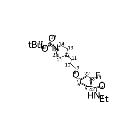 CCNC(=O)c1ccc(OCCCC2CCN(C(=O)OC(C)(C)C)CC2)cc1F